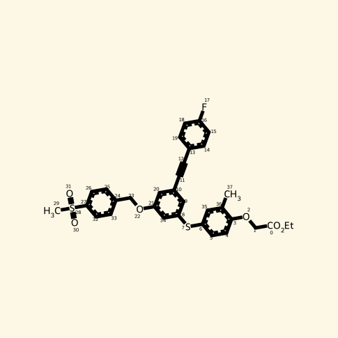 CCOC(=O)COc1ccc(Sc2cc(C#Cc3ccc(F)cc3)cc(OCc3ccc(S(C)(=O)=O)cc3)c2)cc1C